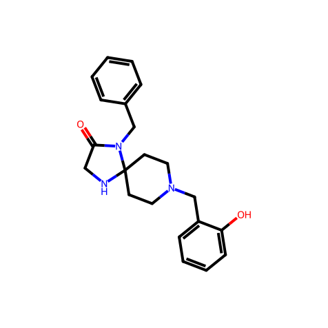 O=C1CNC2(CCN(Cc3ccccc3O)CC2)N1Cc1ccccc1